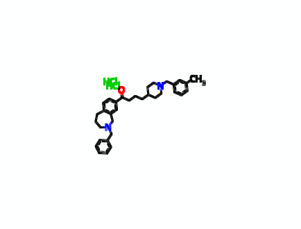 Cc1cccc(CN2CCC(CCCC(=O)c3ccc4c(c3)CN(Cc3ccccc3)CCC4)CC2)c1.Cl.Cl